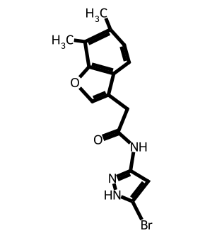 Cc1ccc2c(CC(=O)Nc3cc(Br)[nH]n3)coc2c1C